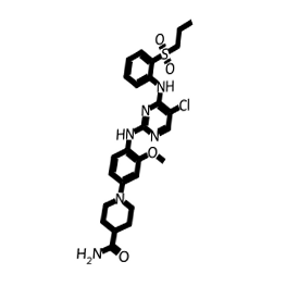 CCCS(=O)(=O)c1ccccc1Nc1nc(Nc2ccc(N3CCC(C(N)=O)CC3)cc2OC)ncc1Cl